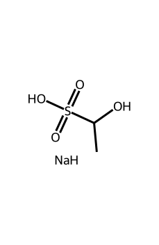 CC(O)S(=O)(=O)O.[NaH]